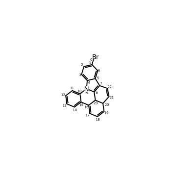 Brc1ccc2c(c1)c1c3n2-c2ccccc2C2=CC=CC(C=C1)C23